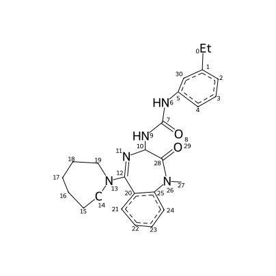 CCc1cccc(NC(=O)NC2N=C(N3CCCCCC3)c3ccccc3N(C)C2=O)c1